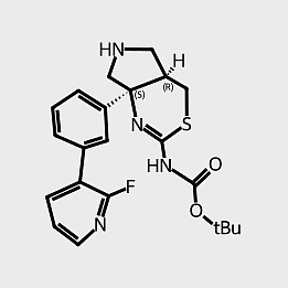 CC(C)(C)OC(=O)NC1=N[C@@]2(c3cccc(-c4cccnc4F)c3)CNC[C@H]2CS1